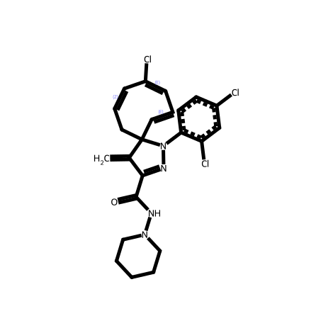 C=C1C(C(=O)NN2CCCCC2)=NN(c2ccc(Cl)cc2Cl)C12/C=C/C=C(Cl)\C=C/C2